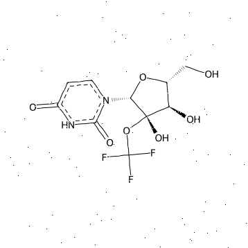 O=c1ccn([C@@H]2O[C@H](CO)[C@@H](O)[C@]2(O)OC(F)(F)F)c(=O)[nH]1